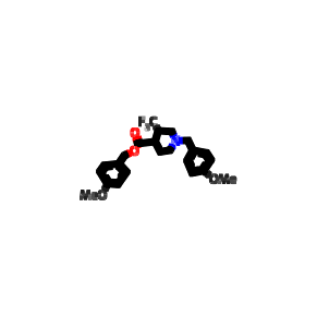 COc1ccc(COC(=O)C2CCN(Cc3ccc(OC)cc3)CC2C(F)(F)F)cc1